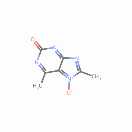 CC1=NC(=O)N=C2N=C(C)[N+]([O-])=C12